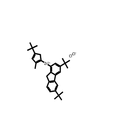 CC1=[C]([Zr+2][c]2cc(C(C)(C)C)cc3c2Cc2ccc(C(C)(C)C)cc2-3)CC(C(C)(C)C)=C1.[Cl-].[Cl-]